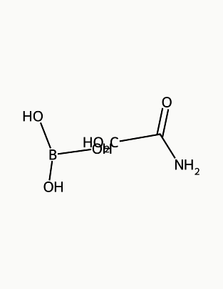 NC(=O)C(=O)O.OB(O)O